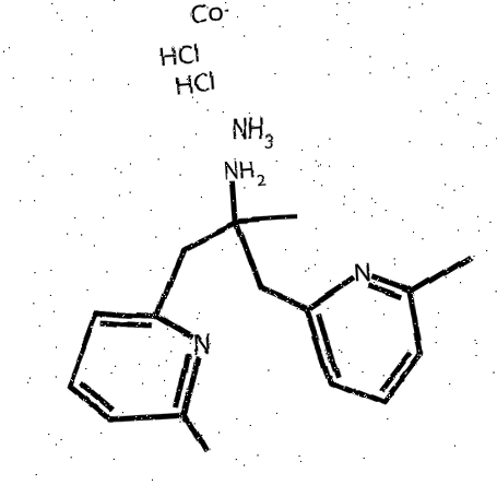 Cc1cccc(CC(C)(N)Cc2cccc(C)n2)n1.Cl.Cl.N.[Co]